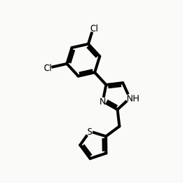 Clc1cc(Cl)cc(-c2c[nH]c(Cc3cccs3)n2)c1